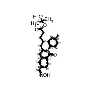 CC(C)(C)OC(=O)CCCCc1cc2cc(/C=N\O)ccc2c(=O)n1-c1ccc(F)cc1